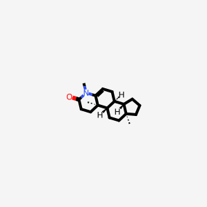 CN1C(=O)CC[C@@]2(C)C1=CC[C@H]1[C@@H]3CCC[C@@]3(C)CC[C@@H]12